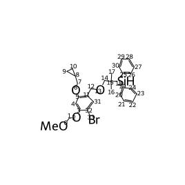 COCOc1cc(OCC2CC2)c(COCC(C)(C)[SiH](c2ccccc2)c2ccccc2)cc1Br